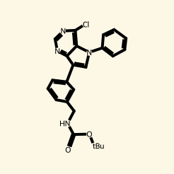 CC(C)(C)OC(=O)NCc1cccc(-c2cn(-c3ccccc3)c3c(Cl)ncnc23)c1